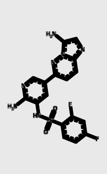 Bc1ncc(-c2ccc3ncc(N)n3n2)cc1NS(=O)(=O)c1ccc(F)cc1F